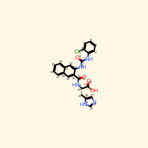 O=C(Nc1ccccc1Cl)Nc1cc2ccccc2cc1C(=O)N[C@@H](Cc1cnc[nH]1)C(=O)O